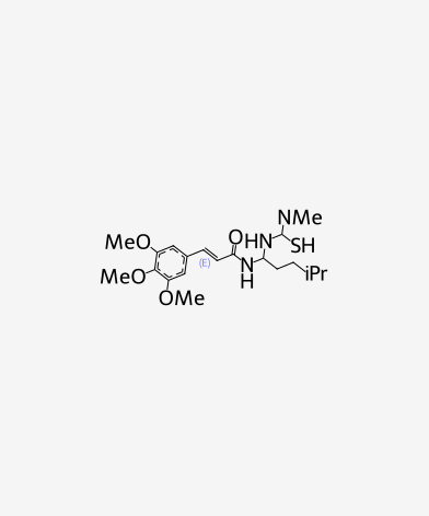 CNC(S)NC(CCC(C)C)NC(=O)/C=C/c1cc(OC)c(OC)c(OC)c1